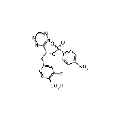 O=C(O)c1ccc(CC(OS(=O)(=O)c2ccc([N+](=O)[O-])cc2)c2nncnn2)cc1F